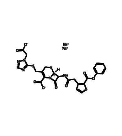 O=C([O-])Cn1nnnc1SCC1=C(C(=O)[O-])N2C(=O)C(NC(=O)Cc3ccsc3C(=O)Oc3ccccc3)[C@@H]2SC1.[Na+].[Na+]